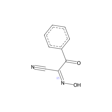 N#C/C(=N/O)C(=O)c1ccccc1